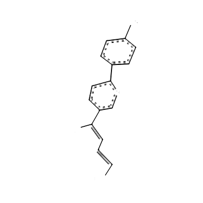 CC=CC=C(C(=O)O)c1ccc(-c2ccc(C#N)cc2)nc1